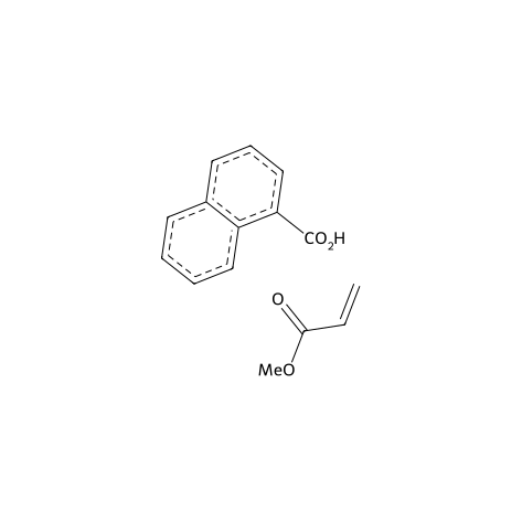 C=CC(=O)OC.O=C(O)c1cccc2ccccc12